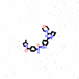 CC1CCN(C(=O)c2ccc(NC(=O)Nc3ccc(-c4nc(N5CCOCC5)c5cccn5n4)cc3)cc2)C1